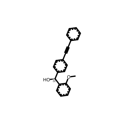 COc1ccccc1[C@@H](O)c1ccc(C#Cc2ccccc2)cc1